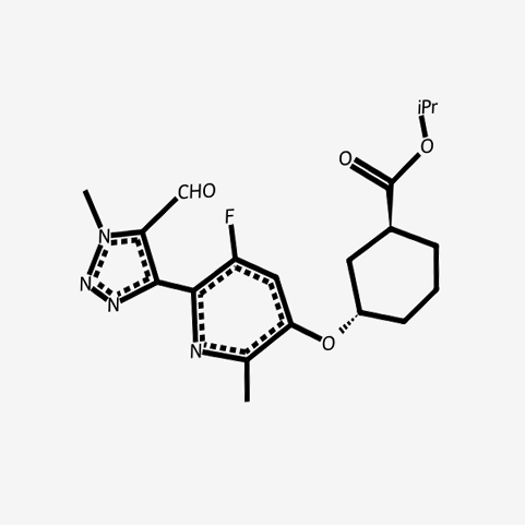 Cc1nc(-c2nnn(C)c2C=O)c(F)cc1O[C@H]1CCC[C@H](C(=O)OC(C)C)C1